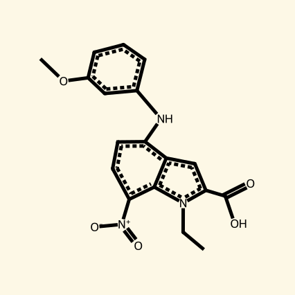 CCn1c(C(=O)O)cc2c(Nc3cccc(OC)c3)ccc([N+](=O)[O-])c21